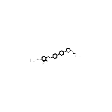 CCCCC1CCC(c2ccc(-c3ccc(CCc4ccc(OCC)c(F)c4F)cc3)cc2)C1